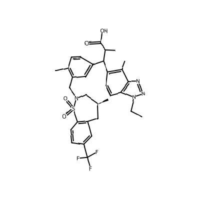 CCn1nnc2c(C)c(C(c3ccc(C)c(CN4C[C@@H](C)Cc5cc(C(F)(F)F)ccc5S4(=O)=O)c3)C(C)C(=O)O)ccc21